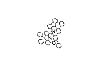 CC12c3ccccc3-c3cccc(c31)N1B3c4cccc5c4N(c4ccccc4C5(c4ccccc4)c4ccccc4)c4c3c(cc3c4oc4ccccc43)-c3ccc(-c4ccccc4)c2c31